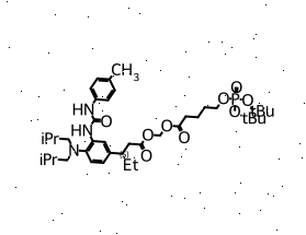 CC[C@@H](CC(=O)OCOC(=O)CCCCOP(=O)(OC(C)(C)C)OC(C)(C)C)c1ccc(N(CC(C)C)CC(C)C)c(NC(=O)Nc2ccc(C)cc2)c1